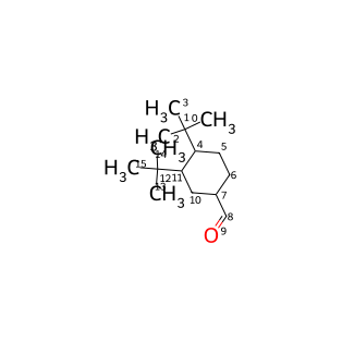 CC(C)(C)C1CCC(C=O)CC1C(C)(C)C